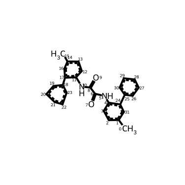 Cc1ccc(NC(=O)C(=O)Nc2ccc(C)cc2-c2ccccc2)c(-c2ccccc2)c1